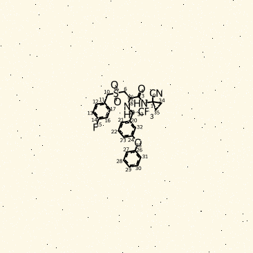 N#CC1(NC(=O)[C@H](CS(=O)(=O)Cc2ccc(F)cc2)N[C@@H](c2cccc(Oc3ccccc3)c2)C(F)(F)F)CC1